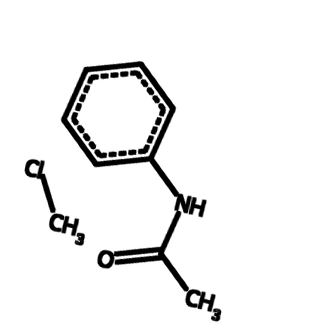 CC(=O)Nc1ccccc1.CCl